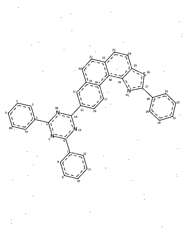 c1ccc(-c2nc(-c3ccccc3)nc(-c3ccc4c(ccc5ccc6sc(-c7ccccc7)nc6c54)c3)n2)cc1